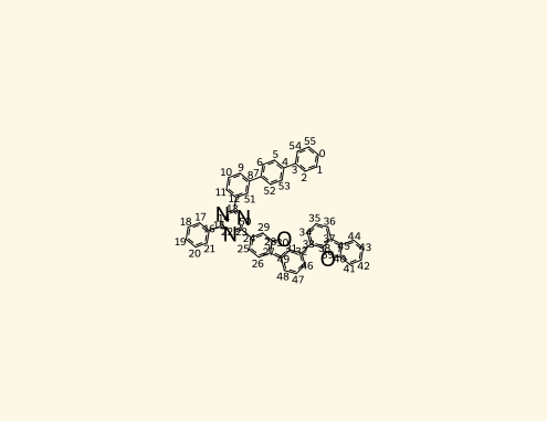 c1ccc(-c2ccc(-c3cccc(-c4nc(-c5ccccc5)nc(-c5ccc6c(c5)oc5c(-c7cccc8c7oc7ccccc78)cccc56)n4)c3)cc2)cc1